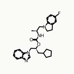 C[C@@H](CN1CCc2cc(F)ccc21)NC(=O)O[C@@H](CC1CCCC1)Cn1cnc2ccccc21